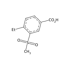 CCc1ccc(C(=O)O)cc1S(C)(=O)=O